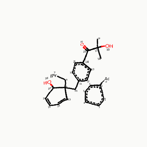 CC(=O)c1ccccc1.CC(C)CC1(Cc2ccc(C(=O)C(C)(C)O)cc2)C=CC=CC1O